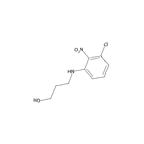 O=[N+]([O-])c1c(Cl)cccc1NCCCO